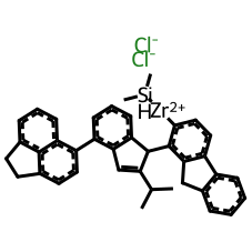 CC(C)C1=Cc2c(-c3ccc4c5c(cccc35)CC4)cccc2C1c1[c]([Zr+2][SiH](C)C)ccc2c1Cc1ccccc1-2.[Cl-].[Cl-]